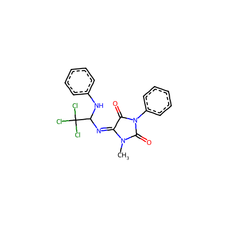 CN1C(=O)N(c2ccccc2)C(=O)/C1=N\C(Nc1ccccc1)C(Cl)(Cl)Cl